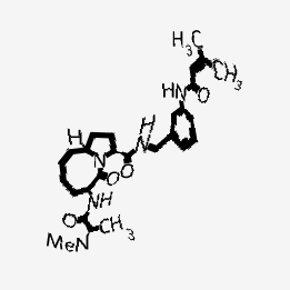 CN[C@@H](C)C(=O)N[C@H]1CCCC[C@H]2CC[C@@H](C(=O)NCc3cccc(NC(=O)C=C(C)C)c3)N2C1=O